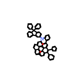 c1ccc(-c2c(-c3ccccc3)c3cc(-c4ccccc4N(c4ccc5c(c4)-c4ccccc4C5(c4ccccc4)c4ccccc4)c4ccc5c(ccc6ccccc65)c4)ccc3c3ccccc23)cc1